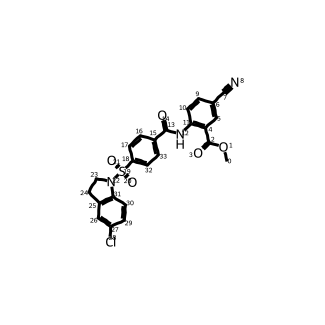 COC(=O)c1cc(C#N)ccc1NC(=O)c1ccc(S(=O)(=O)N2CCc3cc(Cl)ccc32)cc1